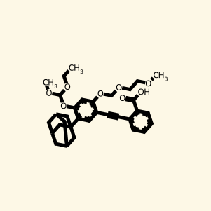 CCOC(OC)Oc1cc(OCOCCOC)c(C#Cc2ccccc2C(=O)O)cc1C12CC3CC(CC(C3)C1)C2